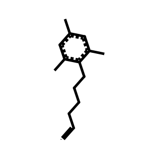 [CH]=CCCCCc1c(C)cc(C)cc1C